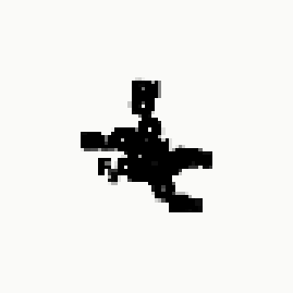 CC(C)(C)c1ccc2c(c1)c1cc(C(C)(C)C)ccc1n2-c1ccc(C(F)(F)F)cc1-c1nc(-c2ccccc2)nc(-c2ccc(-c3ccc(C#N)cc3)cc2-n2c3ccc(C(C)(C)C)cc3c3cc(C(C)(C)C)ccc32)n1